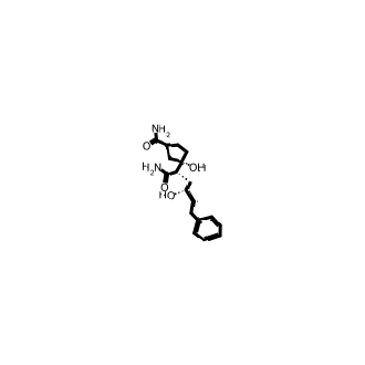 NC(=O)C1CC[C@@](O)([C@H](C[C@@H](O)[CH]Cc2ccccc2)C(N)=O)C1